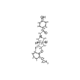 COc1cccc(F)c1OC1C[C@@H]2CN(CC(=O)c3ccc(O)cc3)C[C@@H]2C1